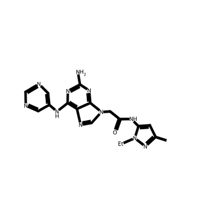 CCn1nc(C)cc1NC(=O)Cn1cnc2c(Nc3cncnc3)nc(N)nc21